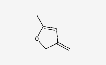 C=C1C=C(C)OC1